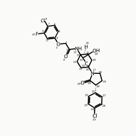 O=C(COc1ccc(Cl)c(F)c1)NC12CCC(N3CC[C@H](c4ccc(Cl)cc4)C3=O)(CC1)C[C@@H]2O